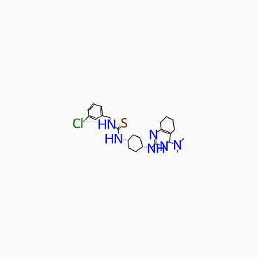 CN(C)c1nc(N[C@H]2CC[C@@H](NC(=S)NCc3cccc(Cl)c3)CC2)nc2c1CCCC2